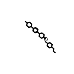 CCCC1C=CC(COC2CCC(c3ccc(C4CCC(C)CC4)cc3)CC2)CC1